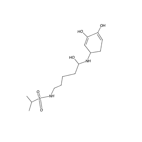 CC(C)S(=O)(=O)NCCCCC(O)NC1C=C(O)C(O)=CC1